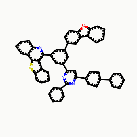 c1ccc(-c2ccc(-c3cc(-c4cc(-c5ccc6oc7ccccc7c6c5)cc(-c5nc6ccccc6c6sc7ccccc7c56)c4)nc(-c4ccccc4)n3)cc2)cc1